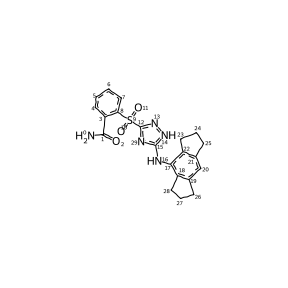 NC(=O)c1ccccc1S(=O)(=O)c1n[nH]c(Nc2c3c(cc4c2CCC4)CCC3)n1